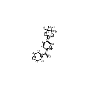 CC1(C)OB(c2ccc(C(=O)N3CCOCC3)nc2)OC1(C)C